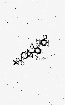 COc1c(Nc2cnnc(Cl)c2)cccc1-c1nc2n(n1)CCN(C(=O)OC(C)(C)C)C2.[Zn+2]